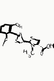 CN1[C@@H](C(=O)O)CS[C@@H]1[C@@H]1CSC(c2c(O)cccc2F)=N1